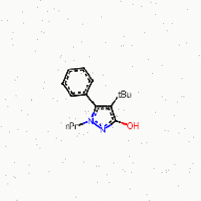 CCCn1nc(O)c(C(C)(C)C)c1-c1ccccc1